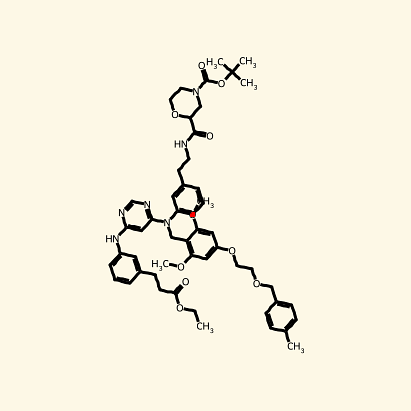 CCOC(=O)CCc1cccc(Nc2cc(N(Cc3c(OC)cc(OCCOCc4ccc(C)cc4)cc3OC)c3cccc(CCNC(=O)C4CN(C(=O)OC(C)(C)C)CCO4)c3)ncn2)c1